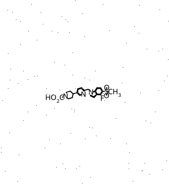 CS(=O)(=O)c1ccc2c(ccn2Cc2ccc(C3CCN(C(=O)O)CC3)cn2)c1F